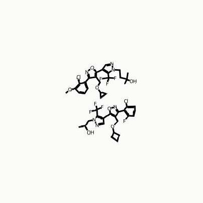 CC(O)Cn1ncc(-c2onc(-c3c(F)cccc3Cl)c2COC2CCC2)c1C(F)(F)F.COc1cccc(-c2noc(-c3cnn(CCC(C)(C)O)c3C(F)(F)F)c2COC2CC2)c1Cl